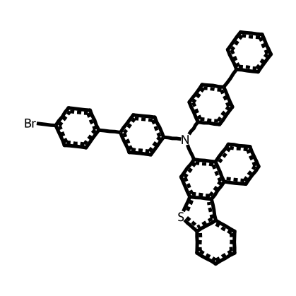 Brc1ccc(-c2ccc(N(c3ccc(-c4ccccc4)cc3)c3cc4sc5ccccc5c4c4ccccc34)cc2)cc1